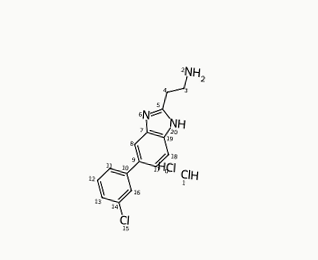 Cl.Cl.NCCc1nc2cc(-c3cccc(Cl)c3)ccc2[nH]1